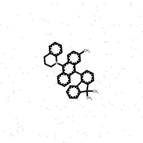 Cc1ccc2c(N3CCCc4ccccc43)c3ccccc3c(-c3cccc4c3-c3ccccc3C4(C)C)c2c1